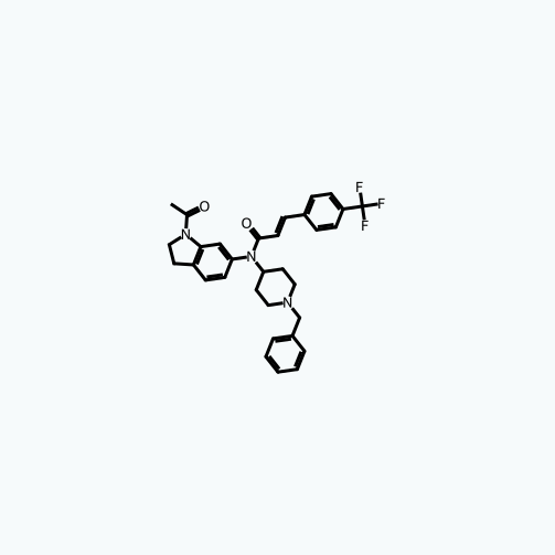 CC(=O)N1CCc2ccc(N(C(=O)C=Cc3ccc(C(F)(F)F)cc3)C3CCN(Cc4ccccc4)CC3)cc21